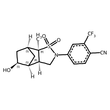 C[C@@]12[C@H]3C[C@H]([C@@H](O)C3)[C@@H]1CN(c1ccc(C#N)c(C(F)(F)F)c1)S2(=O)=O